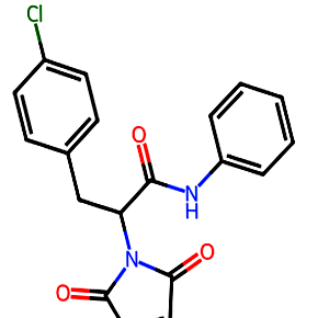 O=C(Nc1ccccc1)C(Cc1ccc(Cl)cc1)N1C(=O)C=CC1=O